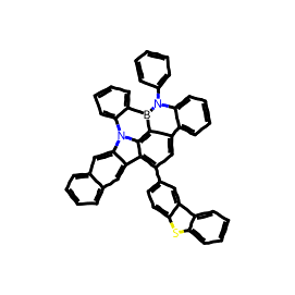 c1ccc(N2B3c4ccccc4-n4c5cc6ccccc6cc5c5c(-c6ccc7sc8ccccc8c7c6)cc(c3c54)-c3ccccc32)cc1